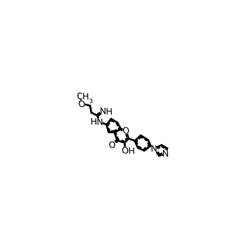 COCCC(=N)Nc1ccc2oc(-c3ccc(-n4ccnc4)cc3)c(O)c(=O)c2c1